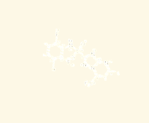 Cc1cc(C(F)(F)F)n2nc(S(=O)(=O)Nc3c(F)ccc(C)c3F)nc2n1